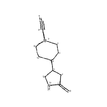 C=C1CC(C2CCB(C#N)CC2)CN1